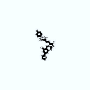 Cc1ccc(S(=O)(=O)NC(=O)/C=C/c2c(Cl)nc(C)n2Cc2ccc(-c3cccs3)cc2Cl)cc1